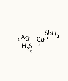 S.[Ag].[Cu].[SbH3]